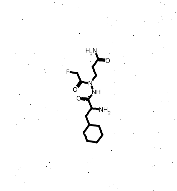 NC(=O)CCN(NC(=O)C(N)CC1CCCCC1)C(=O)CF